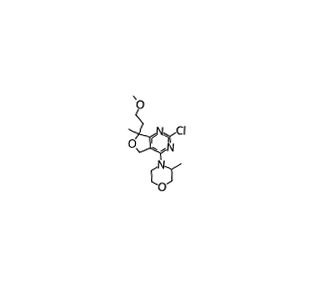 COCCC1(C)OCc2c(N3CCOCC3C)nc(Cl)nc21